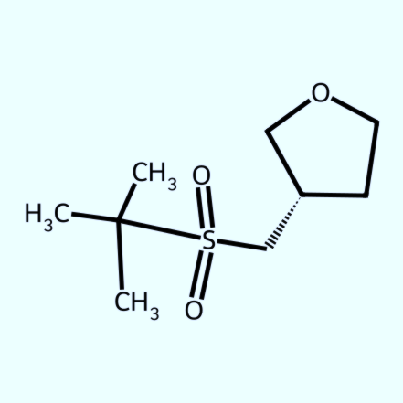 CC(C)(C)S(=O)(=O)C[C@H]1CCOC1